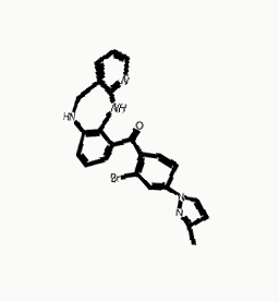 Cc1ccn(-c2ccc(C(=O)c3cccc4c3Nc3ncccc3CN4)c(Br)c2)n1